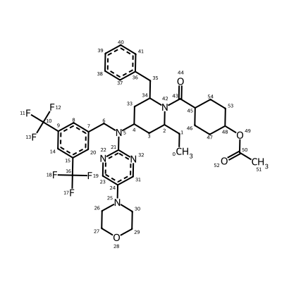 CCC1CC(N(Cc2cc(C(F)(F)F)cc(C(F)(F)F)c2)c2ncc(N3CCOCC3)cn2)CC(Cc2ccccc2)N1C(=O)C1CCC(OC(C)=O)CC1